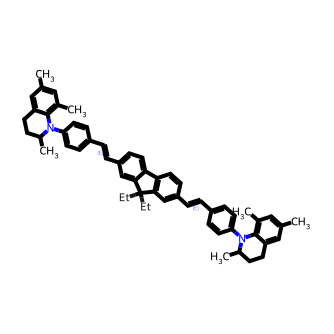 CCC1(CC)c2cc(/C=C/c3ccc(N4c5c(C)cc(C)cc5CCC4C)cc3)ccc2-c2ccc(/C=C/c3ccc(N4c5c(C)cc(C)cc5CCC4C)cc3)cc21